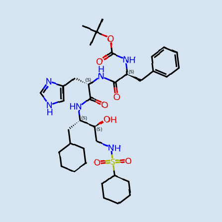 CC(C)(C)OC(=O)N[C@@H](Cc1ccccc1)C(=O)N[C@@H](Cc1c[nH]cn1)C(=O)N[C@@H](CC1CCCCC1)[C@@H](O)CNS(=O)(=O)C1CCCCC1